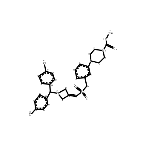 CC(C)(C)OC(=O)N1CCN(c2cccc(CS(=O)(=O)C=C3CN(C(c4ccc(Cl)cc4)c4ccc(Cl)cc4)C3)c2)CC1